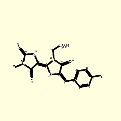 Cc1ccc(C=c2s/c(=C3/SC(=S)N(C)C3=O)n(CC(=O)O)c2=O)cc1